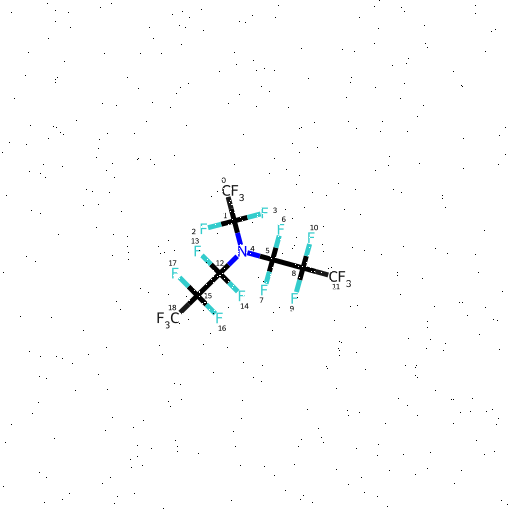 FC(F)(F)C(F)(F)N(C(F)(F)C(F)(F)C(F)(F)F)C(F)(F)C(F)(F)C(F)(F)F